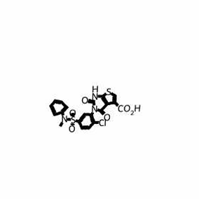 CN(c1ccccc1)S(=O)(=O)c1ccc(Cl)c(-n2c(=O)[nH]c3scc(C(=O)O)c3c2=O)c1